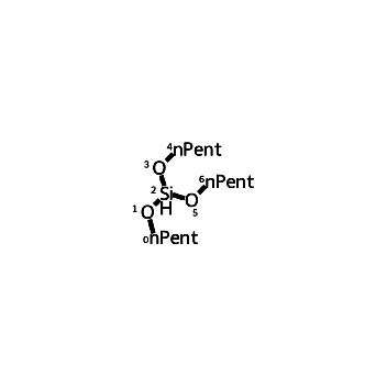 CCCCCO[SiH](OCCCCC)OCCCCC